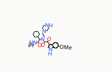 COc1ccc2c(C(=O)C(=O)N(CCN3CCNCC3)C(C(=O)NC(C)C)C3CCCCC3)c[nH]c2c1